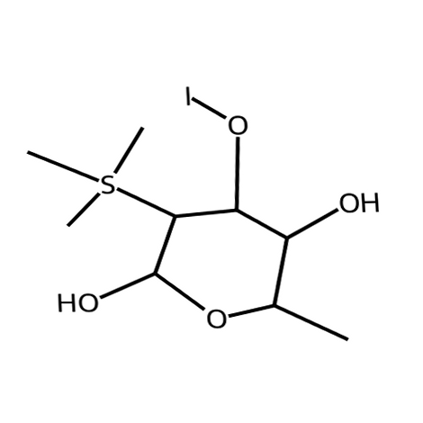 CC1OC(O)C(S(C)(C)C)C(OI)C1O